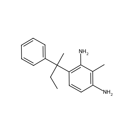 CCC(C)(c1ccccc1)c1ccc(N)c(C)c1N